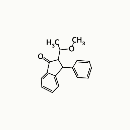 COC(C)C1C(=O)c2ccccc2C1c1ccccc1